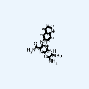 CC(C)(C)C(Nc1cnc(C(N)=O)c(Nc2ccc3ncccc3c2)n1)C(N)=O